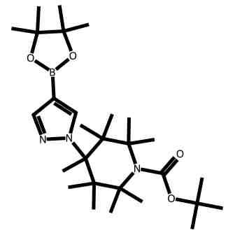 CC(C)(C)OC(=O)N1C(C)(C)C(C)(C)C(C)(n2cc(B3OC(C)(C)C(C)(C)O3)cn2)C(C)(C)C1(C)C